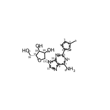 Cc1ccc(-c2nc(N)c3ncn([C@@H]4O[C@H](CO)C(O)C4O)c3n2)s1